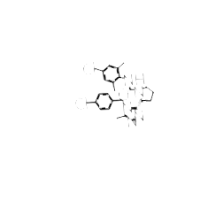 Cc1cc(Cl)cc(C)c1NC(=O)N1CCC[C@@H]1c1nnc(C)n1Cc1ccc(Cl)cc1